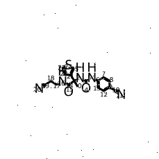 CC(NC(=O)Nc1ccc(C#N)cc1)(C(=O)NCCC#N)c1ccsc1